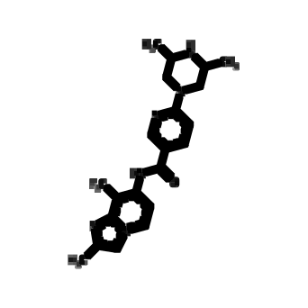 Cc1cn2ccc(NC(=O)c3ccc(N4CC(C)NC(C)C4)nc3)c(C(F)(F)F)c2n1